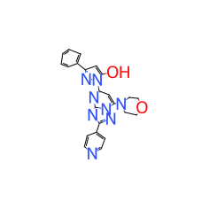 Oc1cc(-c2ccccc2)nn1-c1cc(N2CCOCC2)n2nc(-c3ccncc3)nc2n1